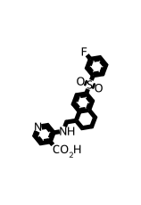 O=C(O)c1ccncc1NCC1CCCc2cc(S(=O)(=O)c3cccc(F)c3)ccc21